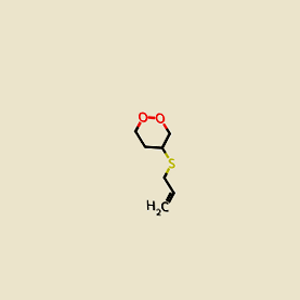 C=CCSC1CCOOC1